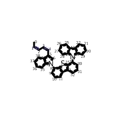 C/C=C\C=C/c1cn(-c2cccc3c2sc2c(-n4c5ccccc5c5ccccc54)cccc23)c2ccccc12